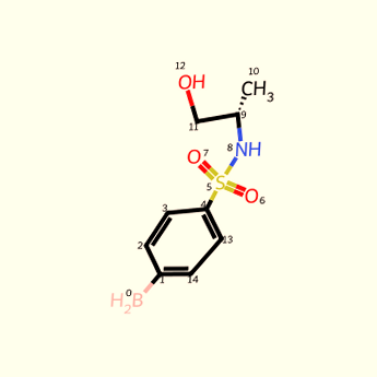 Bc1ccc(S(=O)(=O)N[C@@H](C)CO)cc1